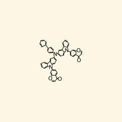 O=c1ccoc2cc(-n3c4ccccc4c4cc(N(c5ccc(-c6ccccc6)cc5)c5ccc6c(c5)c5ccccc5n6-c5ccc6c(=O)ccoc6c5)ccc43)ccc12